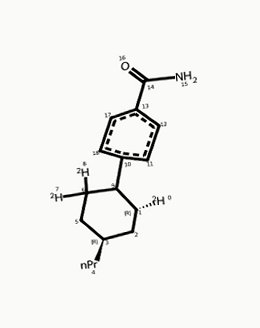 [2H][C@@H]1C[C@@H](CCC)CC([2H])([2H])C1c1ccc(C(N)=O)cc1